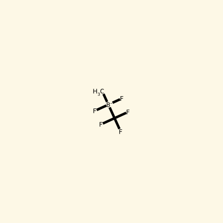 C[B-](F)(F)C(F)(F)F